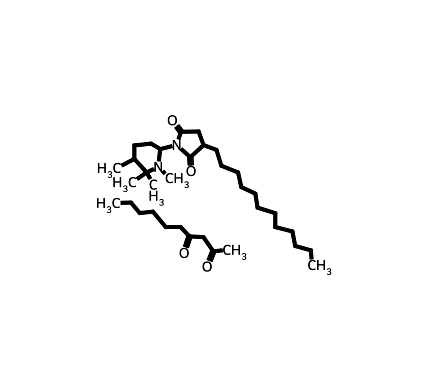 CCCCCCC(=O)CC(C)=O.CCCCCCCCCCCCC1CC(=O)N(C2CCC(C)C(C)(C)N2C)C1=O